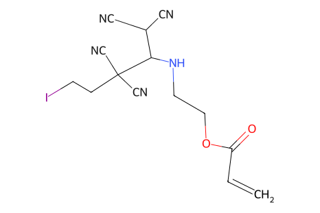 C=CC(=O)OCCNC(C(C#N)C#N)C(C#N)(C#N)CCI